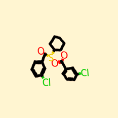 O=C(OC1CCCCC1SC(=O)c1cccc(Cl)c1)c1cccc(Cl)c1